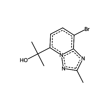 Cc1nc2c(Br)ccc(C(C)(C)O)n2n1